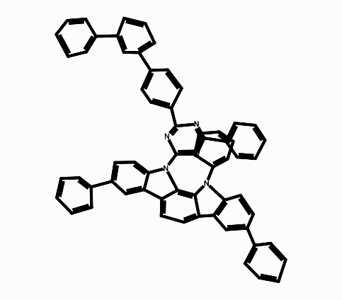 c1ccc(-c2cccc(-c3ccc(-c4nc(-c5ccccc5)nc(-n5c6ccc(-c7ccccc7)cc6c6ccc7c8cc(-c9ccccc9)ccc8n(-c8ccccc8)c7c65)n4)cc3)c2)cc1